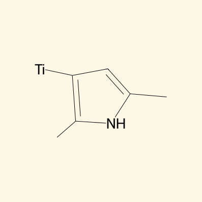 Cc1c[c]([Ti])c(C)[nH]1